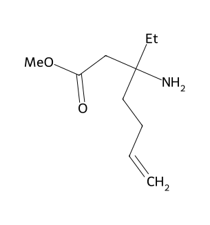 C=CCCC(N)(CC)CC(=O)OC